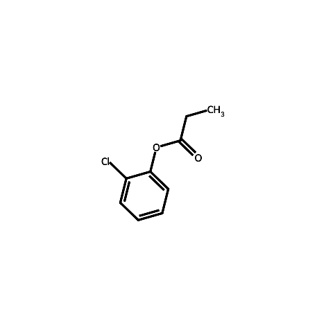 CCC(=O)Oc1ccccc1Cl